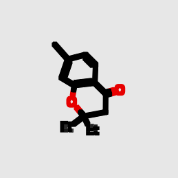 CCC1(CC)CC(=O)c2ccc(C)cc2O1